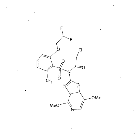 COc1cnc(OC)n2nc(N(C(=O)CCl)S(=O)(=O)c3c(OCC(F)F)cccc3C(F)(F)F)nc12